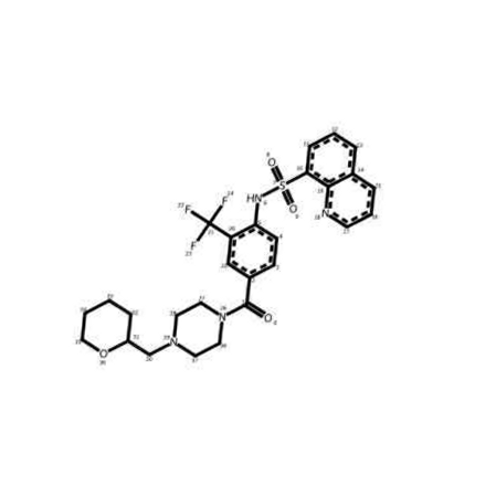 O=C(c1ccc(NS(=O)(=O)c2cccc3cccnc23)c(C(F)(F)F)c1)N1CCN(CC2CCCCO2)CC1